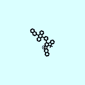 CC1(C)c2ccccc2-c2c(-c3cccc(-c4c5ccccc5c(-c5ccc6ccccc6c5)c5ccccc45)c3)cc3oc4cc5ccccc5cc4c3c21